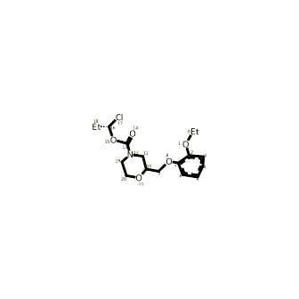 CCOc1ccccc1OCC1CN(C(=O)O[C@@H](Cl)CC)CCO1